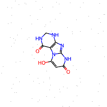 O=C1NCNc2nc3[nH]c(=O)cc(O)n3c21